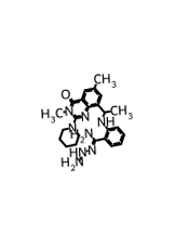 Cc1cc(C(C)Nc2ccccc2/C(N)=N/NN)c2nc(N3CCCCC3)n(C)c(=O)c2c1